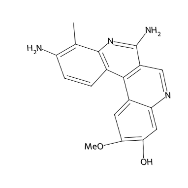 COc1cc2c(cc1O)ncc1c(N)nc3c(C)c(N)ccc3c12